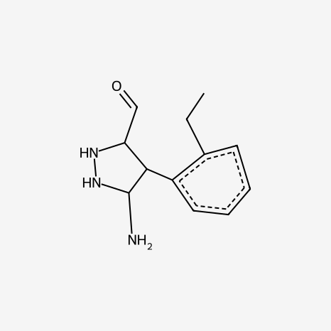 CCc1ccccc1C1C(N)NNC1C=O